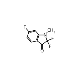 CN1c2cc(F)ccc2C(=O)C1(F)F